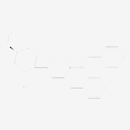 CCO[C@H]1CC[C@@](CS)(C(=O)N[C@@H](Cc2ccccc2)C(=O)NCc2ccccc2)CC1